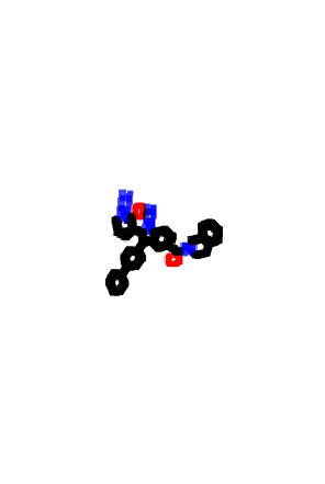 O=C(c1ccc2[nH]c(-c3ccc[nH]c3=O)c(-c3ccc(-c4ccccc4)cc3)c2c1)N1CCc2ccccc2C1